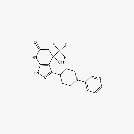 O=C1CC(O)(C(F)(F)F)c2c(C3CCN(c4cccnc4)CC3)n[nH]c2N1